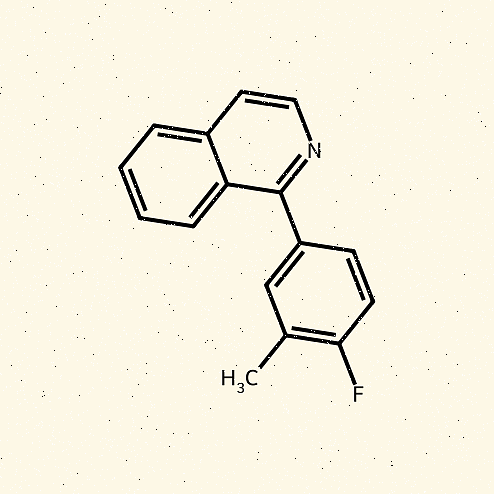 Cc1cc(-c2nccc3ccccc23)ccc1F